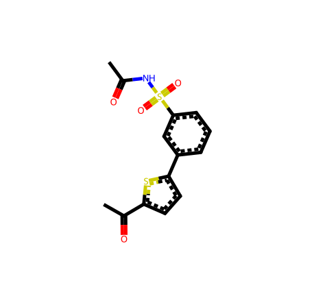 CC(=O)NS(=O)(=O)c1cccc(-c2ccc(C(C)=O)s2)c1